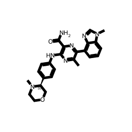 Cc1nc(Nc2ccc([C@H]3COCCN3C)cc2)c(C(N)=O)nc1-c1cccc2c1ncn2C